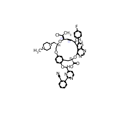 C=C1/C=C\C(=C(/C)Cl)O[C@H](CN2CCN(C)CC2)COc2ccc(OCc3ccnc(-c4ccccc4C#N)n3)c(c2)C[C@H](C(=O)O)Oc2ncnc3sc(-c4ccc(F)cc4)c1c23